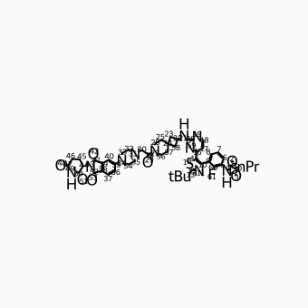 CCCS(=O)(=O)Nc1cccc(-c2nc(C(C)(C)C)sc2-c2ccnc(NC3CC4(CCN(C(=O)CN5CCN(c6ccc7c(c6)C(=O)N([C@@H]6CCC(=O)NC6=O)C7=O)CC5)CC4)C3)n2)c1F